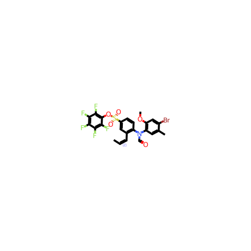 C/C=C\c1cc(S(=O)(=O)Oc2c(F)c(F)c(F)c(F)c2F)ccc1N(C=O)c1cc(C)c(Br)cc1OC